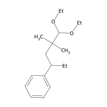 CCOC(OCC)C(C)(C)CC(CC)c1ccccc1